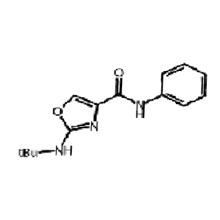 CC(C)(C)Nc1nc(C(=O)Nc2ccccc2)co1